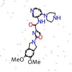 COc1cc2c(cc1OC)CN(c1nc(C(=O)Nc3cnccc3N3CCNCC3)co1)C2